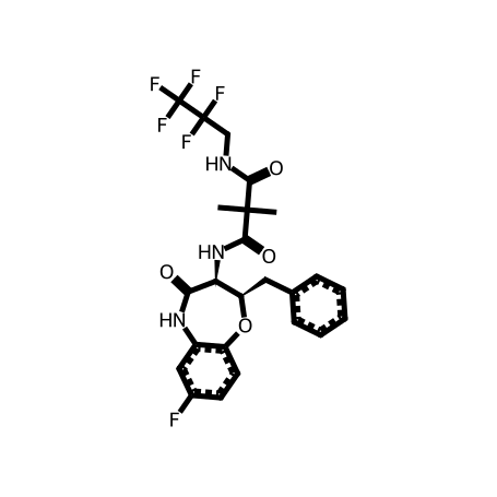 CC(C)(C(=O)NCC(F)(F)C(F)(F)F)C(=O)N[C@@H]1C(=O)Nc2cc(F)ccc2O[C@@H]1Cc1ccccc1